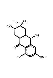 COc1cc(O)c2c(c1)[C@H](O)C1C[C@](C)(O)[C@H](O)CC1C2=O